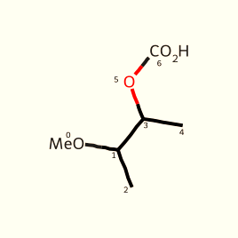 COC(C)C(C)OC(=O)O